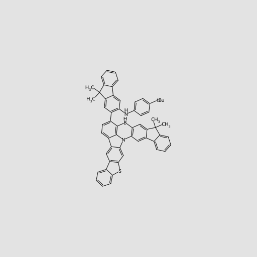 CC(C)(C)c1ccc(Nc2cc3c(cc2-c2ccc4c5cc6c(cc5n5c4c2Bc2cc4c(cc2-5)-c2ccccc2C4(C)C)sc2ccccc26)C(C)(C)c2ccccc2-3)cc1